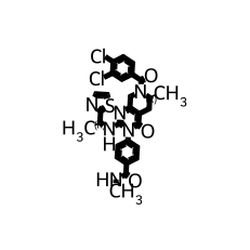 CNC(=O)c1ccc(-n2c(N[C@H](C)c3nccs3)nc3c(c2=O)C[C@@H](C)N(C(=O)c2ccc(Cl)c(Cl)c2)C3)cc1